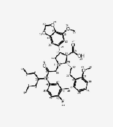 CCCC(CCC)N(C(=O)CN1C[C@H](c2cc(OC)c3c(c2)OCO3)[C@@H](C(=O)O)[C@@H]1CCc1ccccc1OC)c1ccc(F)c(C)c1